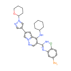 N/C(=N\c1cc(P)ccc1Cl)c1cnn2cc(-c3cnn(C4CCCCO4)c3)cc2c1NC1CCCCC1